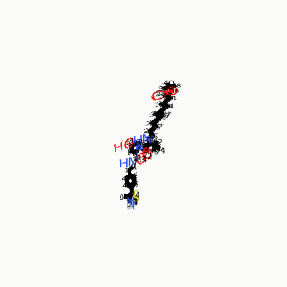 Cc1ncsc1-c1ccc(CCNC(=O)[C@@H]2C[C@@H](O)CN2C(=O)[C@@H](NCCCCCCCCCC(=O)OC(C)(C)C)C(C)(C)C)cc1